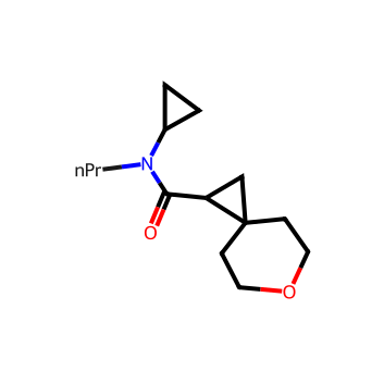 CCCN(C(=O)C1CC12CCOCC2)C1CC1